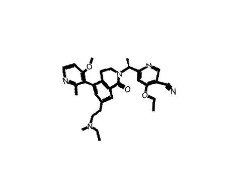 CCOc1cc([C@H](C)N2CCc3c(cc(CCN(C)CC)cc3-c3c(OC)ccnc3C)C2=O)ncc1C#N